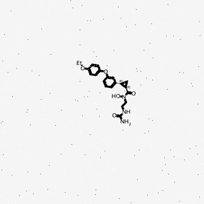 CCOc1ccc(Oc2cccc([C@@H]3C[C@H]3C(=O)N(O)CCNC(N)=O)c2)cc1